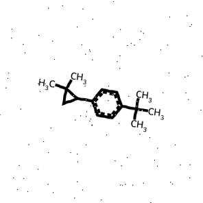 CC(C)(C)c1ccc(C2CC2(C)C)cc1